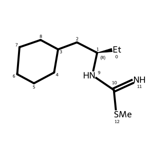 CC[C@H](CC1CCCCC1)NC(=N)SC